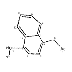 CBc1ccc(CC(C)=O)c2ccccc12